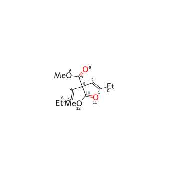 CCC=CC(C=CCC)(C(=O)OC)C(=O)OC